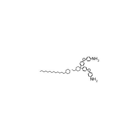 CCCCCCCCCCCCC[C@H]1CC[C@H](CCC2CCC(c3ccc(Oc4ccc(N)cc4)cc3)(c3ccc(Oc4ccc(N)cc4)cc3)CC2)CC1